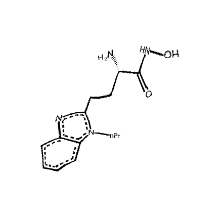 CCCn1c(CC[C@H](N)C(=O)NO)nc2ccccc21